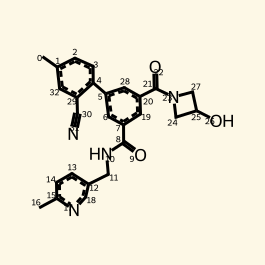 Cc1ccc(-c2cc(C(=O)NCc3ccc(C)nc3)cc(C(=O)N3CC(O)C3)c2)c(C#N)c1